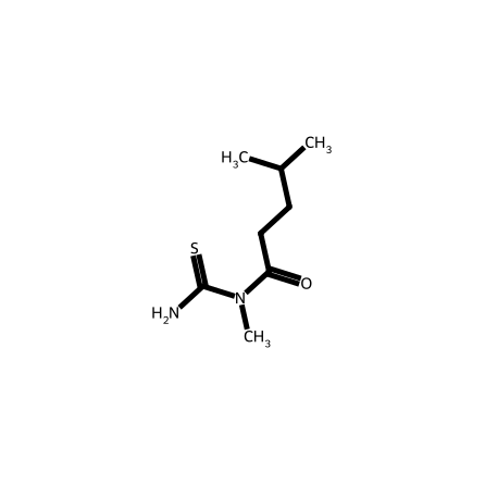 CC(C)CCC(=O)N(C)C(N)=S